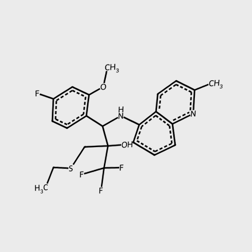 CCSCC(O)(C(Nc1cccc2nc(C)ccc12)c1ccc(F)cc1OC)C(F)(F)F